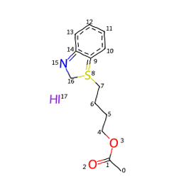 CC(=O)OCCCCS1=c2ccccc2=NC1.I